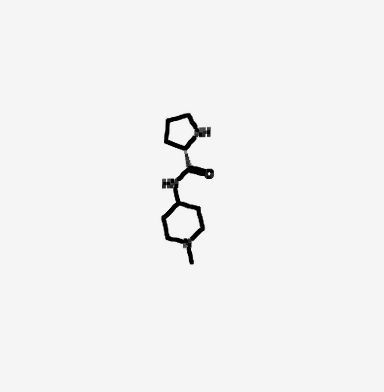 CN1CCC(NC(=O)[C@@H]2CCCN2)CC1